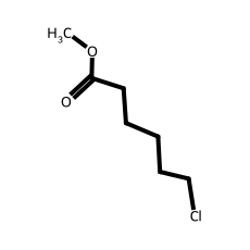 COC(=O)CCCCCCl